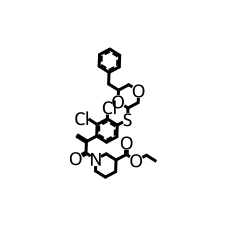 C=C(C(=O)N1CCCC(C(=O)OCC)C1)c1ccc(SC2COCC(Cc3ccccc3)O2)c(Cl)c1Cl